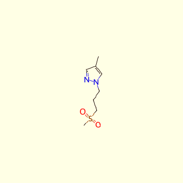 Cc1cnn(CCCS(C)(=O)=O)c1